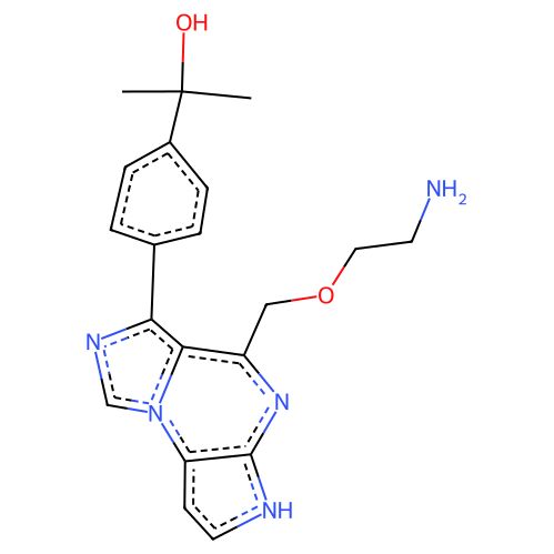 CC(C)(O)c1ccc(-c2ncn3c2c(COCCN)nc2[nH]ccc23)cc1